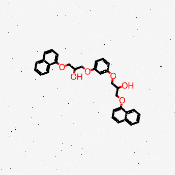 OC(COc1cccc(OCC(O)COc2cccc3ccccc23)c1)COc1cccc2ccccc12